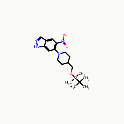 CC(C)(C)[Si](C)(C)OCC1CCN(c2cc3[nH]ncc3cc2[N+](=O)[O-])CC1